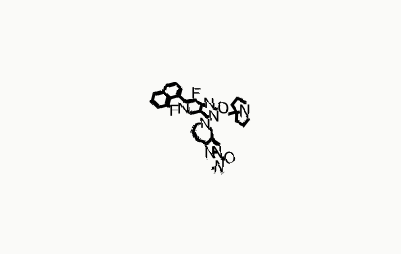 CN(C)C(=O)n1cc2c(n1)CCCN(c1nc(OCC34CCCN3CCC4)nc3c(F)c(-c4cccc5cccc(F)c45)ncc13)C2